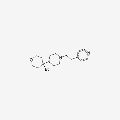 CCC1(N2CCN(CCc3ccncc3)CC2)CCOCC1